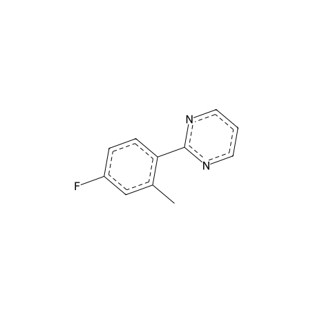 Cc1cc(F)ccc1-c1ncccn1